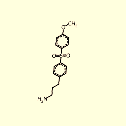 COc1ccc(S(=O)(=O)c2ccc(CCCN)cc2)cc1